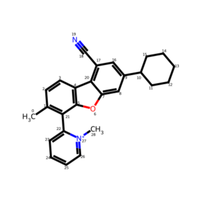 Cc1ccc2c(oc3cc(C4CCCCC4)cc(C#N)c32)c1-c1cccc[n+]1C